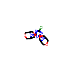 Clc1nc(N2C3COCC2COC3)nc(N2C3COCC2COC3)n1